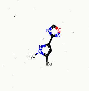 CCC(C)c1cc(-c2ncon2)nn1C